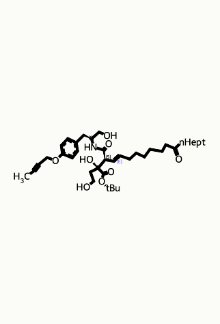 CC#CCOc1ccc(C[C@@H](CO)NC(=O)[C@@H](/C=C/CCCCCCC(=O)CCCCCCC)[C@@](O)(CCO)C(=O)OC(C)(C)C)cc1